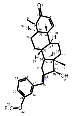 CN1C(=O)C=C[C@]2(C)[C@H]3CC[C@]4(C)[C@@H](O)/C(=C/c5cccc(OC(F)(F)F)c5)C[C@H]4[C@@H]3CC[C@@H]12